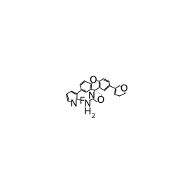 NC1=N[C@]2(COC1)c1cc(C3=CCCOC3)ccc1Oc1ccc(-c3cccnc3F)cc12